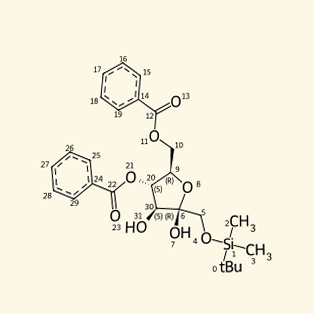 CC(C)(C)[Si](C)(C)OC[C@@]1(O)O[C@H](COC(=O)c2ccccc2)[C@@H](OC(=O)c2ccccc2)[C@@H]1O